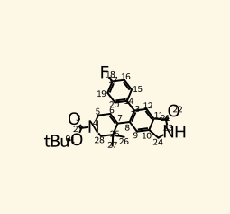 CC(C)(C)OC(=O)N1CC=C(c2cc3c(cc2-c2ccc(F)cc2)C(=O)NC3)C(C)(C)C1